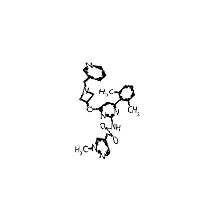 Cc1cccc(C)c1-c1cc(OC2CN(Cc3cccnc3)C2)nc(NS(=O)(=O)c2cnn(C)c2)n1